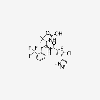 Cn1nccc1-c1cc(C(=O)N[C@@H](Cc2ccccc2C(F)(F)F)C(NC(=O)O)C(C)(C)C)sc1Cl